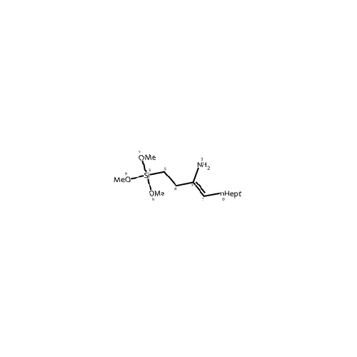 CCCCCCCC=C(N)CC[Si](OC)(OC)OC